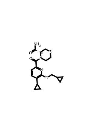 NC(=O)[C@@H]1CSCCN1C(=O)c1ccc(C2CC2)c(OCC2CC2)n1